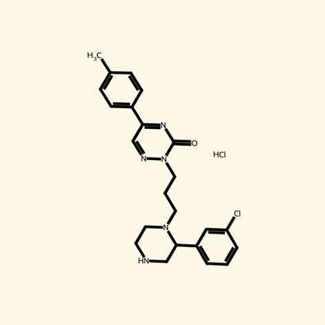 Cc1ccc(-c2cnn(CCCN3CCNCC3c3cccc(Cl)c3)c(=O)n2)cc1.Cl